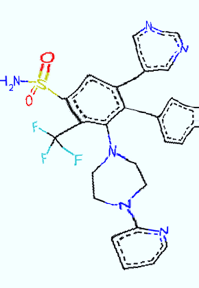 NS(=O)(=O)c1cc(-c2cncnc2)c(-c2ccccc2)c(N2CCN(c3ccccn3)CC2)c1C(F)(F)F